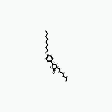 CCCCCCCCOc1ccc(C2CC(CCCCCC)C(=O)O2)cc1